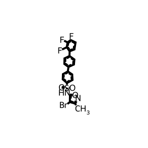 Cc1noc(NS(=O)(=O)c2ccc(-c3ccc(-c4ccc(F)c(F)c4F)cc3)cc2)c1Br